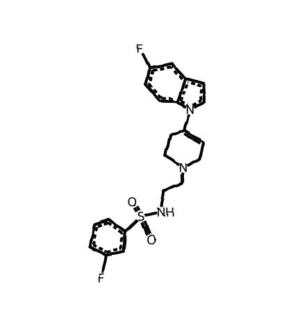 O=S(=O)(NCCN1CC=C(n2ccc3cc(F)ccc32)CC1)c1cccc(F)c1